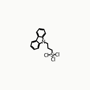 Cl[Si](Cl)(Cl)CCCn1c2ccccc2c2ccccc21